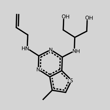 C=CCNc1nc(NC(CO)CO)c2scc(C)c2n1